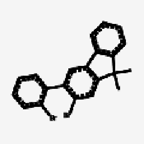 CC1(C)c2ccccc2-c2cc(-c3ccccc3Br)c(Br)cc21